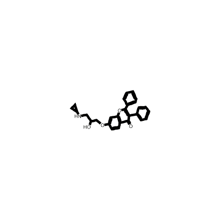 O=c1c(-c2ccccc2)c(-c2ccccc2)oc2cc(OCC(O)CNC3CC3)ccc12